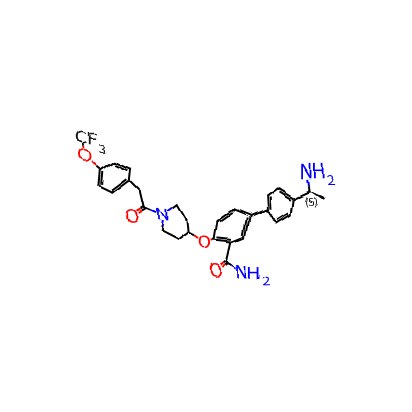 C[C@H](N)c1ccc(-c2ccc(OC3CCN(C(=O)Cc4ccc(OC(F)(F)F)cc4)CC3)c(C(N)=O)c2)cc1